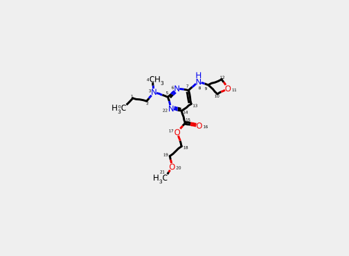 CCCN(C)c1nc(NC2COC2)cc(C(=O)OCCOC)n1